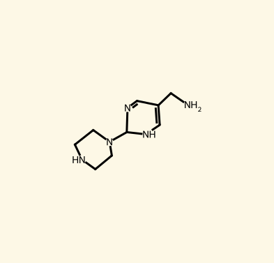 NCC1=CNC(N2CCNCC2)N=C1